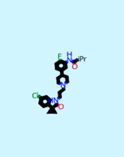 CC(C)C(=O)Nc1cc(C2CCN(CCCNC(=O)C3(c4ccc(Cl)cc4)CC3)CC2)ccc1F